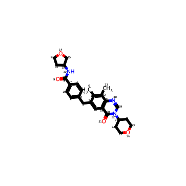 Cc1c(Cc2ccc(C(=O)NC3CCOC3)cc2)cc2c(=O)n(C3CCOCC3)cnc2c1C